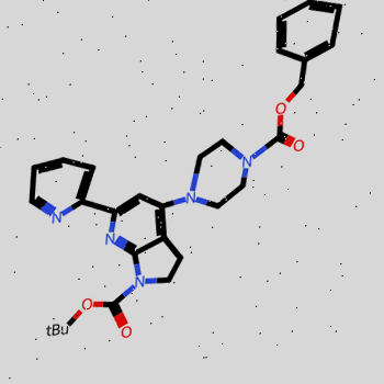 CC(C)(C)OC(=O)N1CCc2c(N3CCN(C(=O)OCc4ccccc4)CC3)cc(-c3ccccn3)nc21